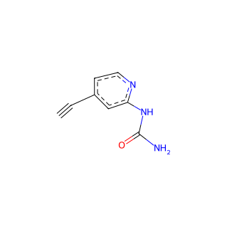 C#Cc1ccnc(NC(N)=O)c1